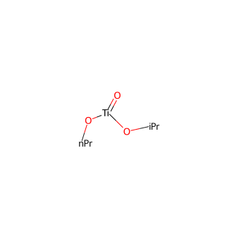 CCC[O][Ti](=[O])[O]C(C)C